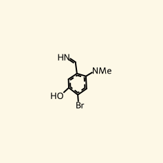 CNc1cc(Br)c(O)cc1C=N